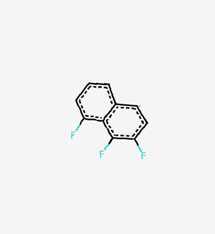 Fc1c[c]c2cccc(F)c2c1F